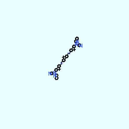 CC1(C)c2cc(/C=C/c3ccc4c(c3)C(C)(C)c3cc(N(C5=CCC6C=CC=CC6=N5)c5ccncc5)ccc3-4)ccc2-c2ccc(/C=C/c3ccc4c(c3)C(C)(C)c3cc(N(c5ccncc5)c5ccc6ccccc6n5)ccc3-4)cc21